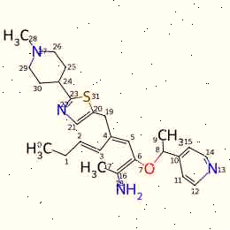 CC/C=C/C(=C\C(OC(C)c1ccncc1)=C(/C)N)Cc1cnc(C2CCN(C)CC2)s1